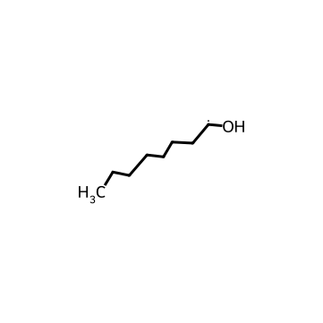 CCCCCCC[CH]O